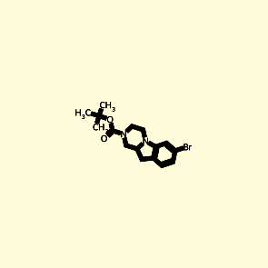 CC(C)(C)OC(=O)N1CCN2c3cc(Br)ccc3CC2C1